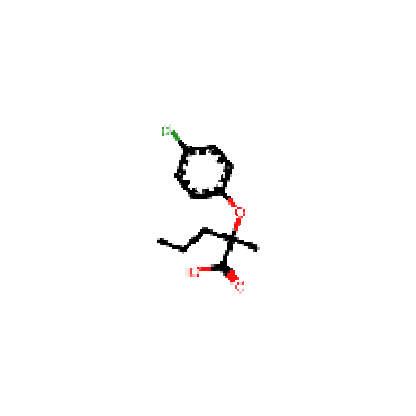 CCCC(C)(Oc1ccc(Cl)cc1)C(=O)O